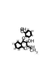 CNCC(O)C(Oc1ccccc1OC)c1ccccc1Cl